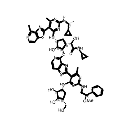 CO[C@@H](CNc1nc(C)c(-c2nc3c(O[C@H]4[C@@H](O)[C@H](Nc5nc(N[C@H](C)C6CC6)nc(C)c5-c5nc6c(C)nccc6s5)C[C@@H]4C(O)C(=O)NC4CC4)nccc3s2)c(N[C@@H]2C[C@H](CO)[C@@H](O)[C@H]2O)n1)c1ccccc1